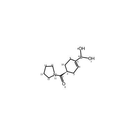 O=C([C@@H]1CC=C(B(O)O)CC1)N1CCCC1